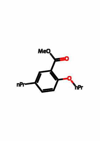 CCCOc1ccc(CCC)cc1C(=O)OC